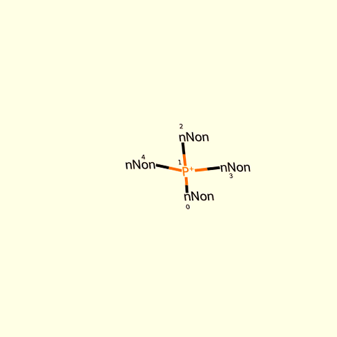 CCCCCCCCC[P+](CCCCCCCCC)(CCCCCCCCC)CCCCCCCCC